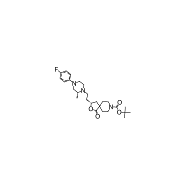 C[C@H]1CN(c2ccc(F)cc2)CCN1CC[C@H]1CC2(CCN(C(=O)OC(C)(C)C)CC2)C(=O)O1